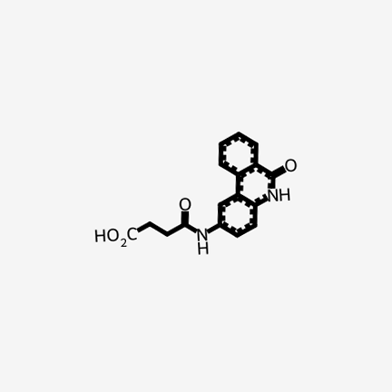 O=C(O)CCC(=O)Nc1ccc2[nH]c(=O)c3ccccc3c2c1